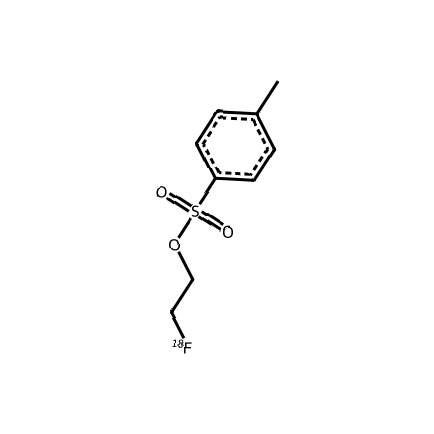 Cc1ccc(S(=O)(=O)OCC[18F])cc1